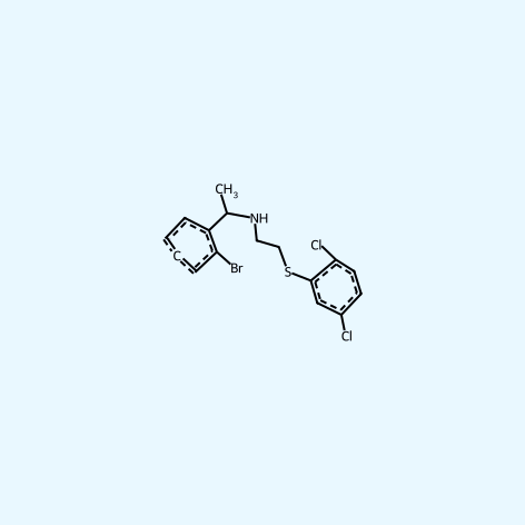 CC(NCCSc1cc(Cl)ccc1Cl)c1ccccc1Br